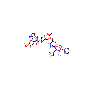 COC(=O)[C@@H](C)C[C@H](Cc1nccs1)NC(=O)c1csc([C@@H](C[C@H](C(C)C)N(C)C(=O)[C@@H](NC(=O)[C@H]2CCCCN2C)C2CSC2)OC(C)=O)n1